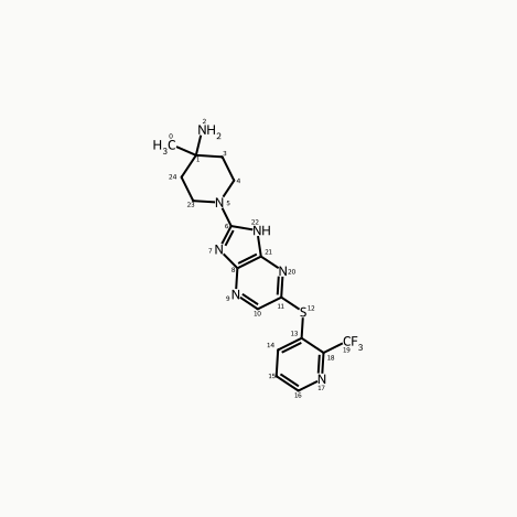 CC1(N)CCN(c2nc3ncc(Sc4cccnc4C(F)(F)F)nc3[nH]2)CC1